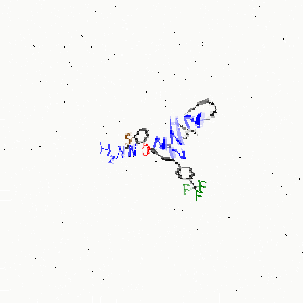 CC(C)(CNc1nc(Oc2cccc3sc(N)nc23)cc(-c2ccc(C(F)(F)F)cc2)n1)N1CCCCC1